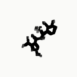 CC(NC(=O)c1cn(C)nc1C(F)F)c1cccc(Cl)c1Cl